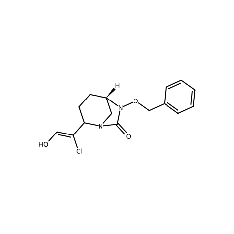 O=C1N2C[C@H](CCC2/C(Cl)=C/O)N1OCc1ccccc1